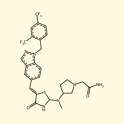 CN(C1CCN(CC(N)=O)C1)C1NC(=O)/C(=C/c2ccc3c(cnn3Cc3ccc(C(F)(F)F)cc3C(F)(F)F)c2)S1